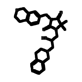 CC1(C)C(=O)N(Cc2ccc3c(c2)COCC3)C(=O)N1CC(O)CN1CCc2ccccc2C1